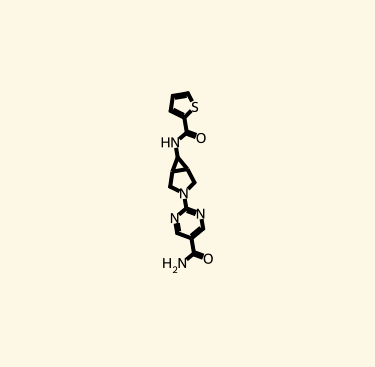 NC(=O)c1cnc(N2CC3C(C2)C3NC(=O)c2cccs2)nc1